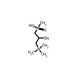 C[N+](C)(C)CC(O)CP(C)(=O)O